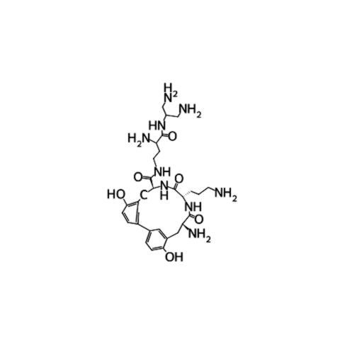 NCCC[C@@H]1NC(=O)[C@@H](N)Cc2cc(ccc2O)-c2ccc(O)c(c2)C[C@@H](C(=O)NCCC(N)C(=O)NC(CN)CN)NC1=O